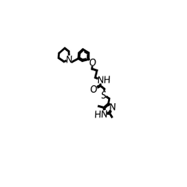 Cc1nc(CSCC(=O)NCCCOc2cccc(CN3CCCCC3)c2)c(C)[nH]1